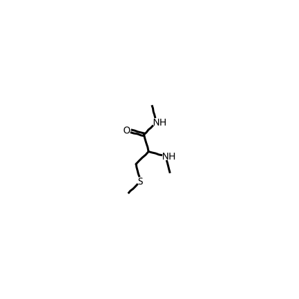 CNC(=O)C(CSC)NC